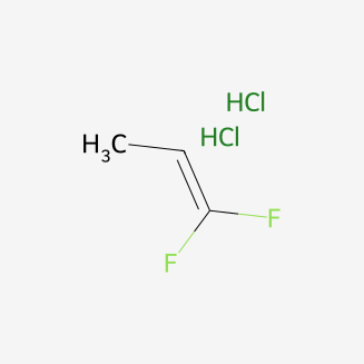 CC=C(F)F.Cl.Cl